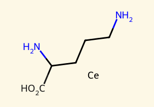 NCCCC(N)C(=O)O.[Ce]